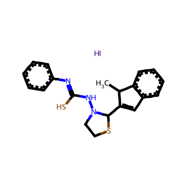 CC1C(C2SCCN2NC(S)=Nc2ccccc2)=Cc2ccccc21.I